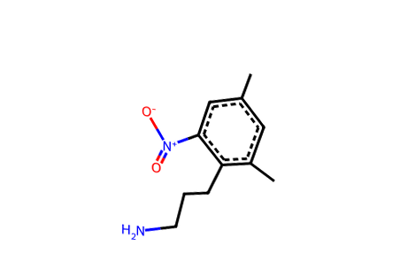 Cc1cc(C)c(CCCN)c([N+](=O)[O-])c1